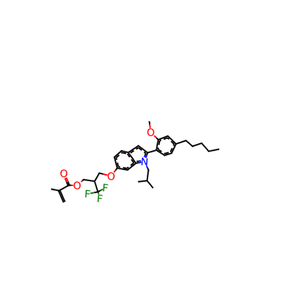 C=C(C)C(=O)OCC(COc1ccc2cc(-c3ccc(CCCCC)cc3OC)n(CC(C)C)c2c1)C(F)(F)F